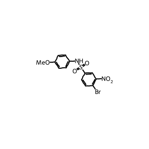 COc1ccc(NS(=O)(=O)c2ccc(Br)c([N+](=O)[O-])c2)cc1